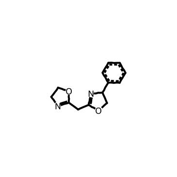 c1ccc(C2COC(CC3=NCCO3)=N2)cc1